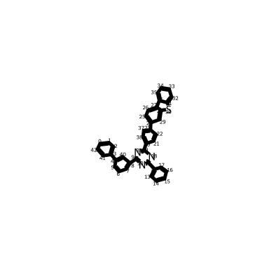 c1ccc(-c2cccc(-c3nc(-c4ccccc4)nc(-c4ccc(-c5ccc6c(c5)sc5ccccc56)cc4)n3)c2)cc1